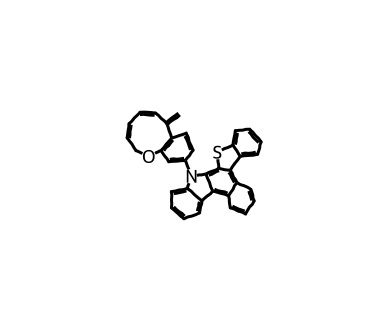 C=C1/C=C\C=C/COc2cc(-n3c4ccccc4c4c5ccccc5c5c6ccccc6sc5c43)ccc21